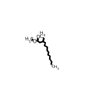 CCCCCCCCCCCC(CC)CC(=O)OC